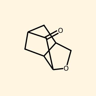 O=C1C2CC3COC1C3C2